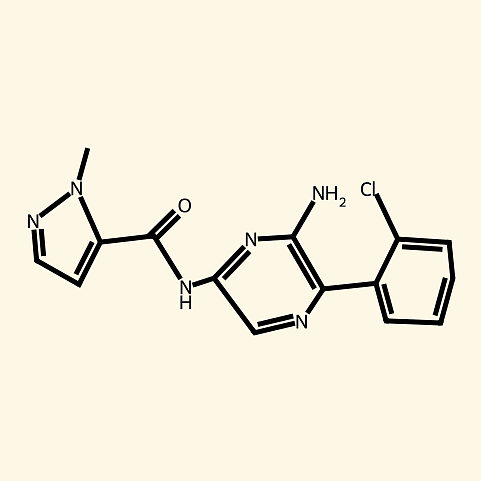 Cn1nccc1C(=O)Nc1cnc(-c2ccccc2Cl)c(N)n1